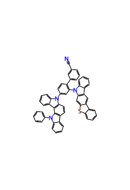 N#Cc1cccc(-c2ccc(-n3c4ccccc4c4c3ccc3c5ccccc5n(-c5ccccc5)c34)cc2-n2c3ccccc3c3cc4c(cc32)sc2ccccc24)c1